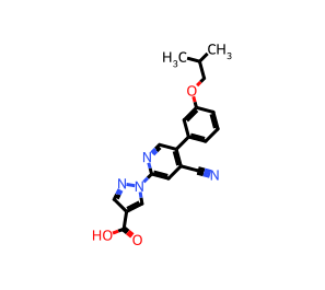 CC(C)COc1cccc(-c2cnc(-n3cc(C(=O)O)cn3)cc2C#N)c1